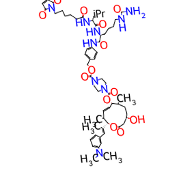 C/C(=C\c1cccc(N(C)C)c1)[C@H]1OC(=O)C[C@H](O)CC[C@H](C)[C@@H](OC(=O)N2CCN(C(=O)OCc3ccc(NC(=O)[C@H](CCCCNC(N)=O)NC(=O)[C@@H](NC(=O)CCCCCN4C(=O)C=CC4=O)C(C)C)cc3)CC2)/C=C/[C@@H]1C